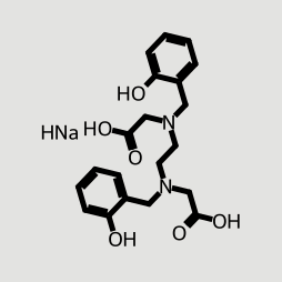 O=C(O)CN(CCN(CC(=O)O)Cc1ccccc1O)Cc1ccccc1O.[NaH]